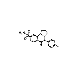 Cc1ccc(C2Nc3ccc(S(N)(=O)=O)cc3C3C=CCC32)cc1